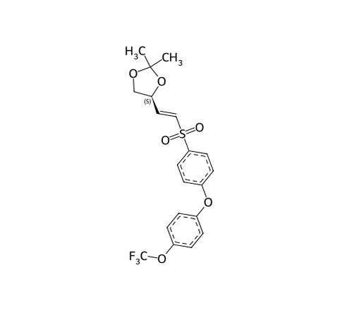 CC1(C)OC[C@H](C=CS(=O)(=O)c2ccc(Oc3ccc(OC(F)(F)F)cc3)cc2)O1